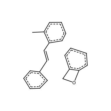 Cc1ccccc1C=Cc1ccccc1.c1ccc2c(c1)CO2